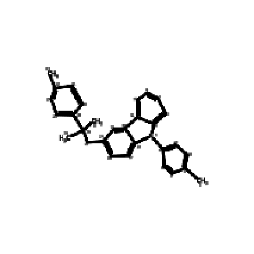 Cc1ccc(-n2c3ccccc3c3cc(CC(C)(C)c4ccc(C)cc4)ccc32)cc1